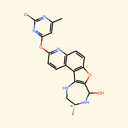 Cc1cc(Oc2ccc3c(ccc4oc5c(c43)NC[C@@H](C)NC5O)n2)nc(Cl)n1